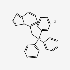 [Cl-].c1ccc([P+](Cc2cccc3cncn23)(c2ccccc2)c2ccccc2)cc1